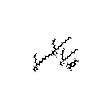 CCCCCCCCCC(CCCC#N)[n+]1cc[nH]c1.CCCCCCCCCC(CCCC#N)[n+]1cc[nH]c1.CCCCCCCCCC(CCCC#N)[n+]1cc[nH]c1.O=C([O-])c1ccc(C(=O)[O-])c(C(=O)[O-])c1